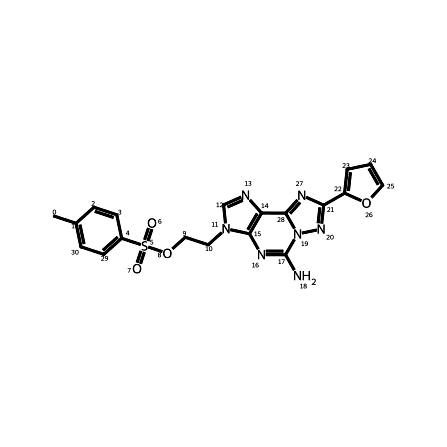 Cc1ccc(S(=O)(=O)OCCn2cnc3c2nc(N)n2nc(-c4ccco4)nc32)cc1